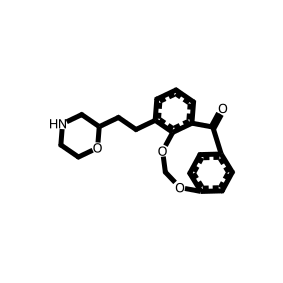 O=C1c2ccc(cc2)OCOc2c(CCC3CNCCO3)cccc21